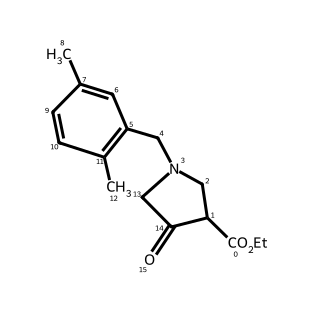 CCOC(=O)C1CN(Cc2cc(C)ccc2C)CC1=O